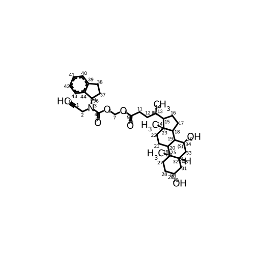 C#CCN(C(=O)OCOC(=O)CC[C@@H](C)C1CCC2C3C(CC[C@@]21C)[C@@]1(C)CC[C@@H](O)C[C@H]1C[C@@H]3O)[C@@H]1CCc2ccccc21